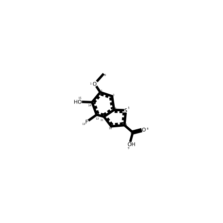 COc1cc2sc(C(=O)O)cc2c(F)c1O